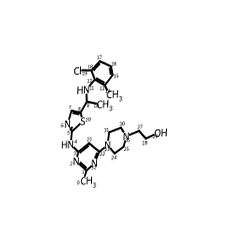 Cc1nc(Nc2ncc(C(C)Nc3c(C)cccc3Cl)s2)cc(N2CCN(CCO)CC2)n1